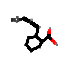 [O]C(=O)C1CCCCC1C=C=CC(=O)O